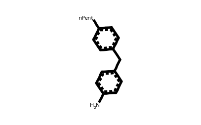 CCCCCc1ccc(Cc2ccc(N)cc2)cc1